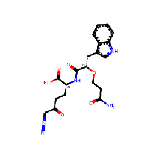 [N-]=[N+]=CC(=O)CC[C@H](NC(=O)[C@H](Cc1c[nH]c2ccccc12)OCCC(N)=O)C(=O)O